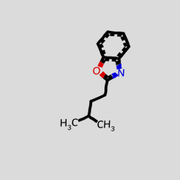 CC(C)CCc1nc2ccccc2o1